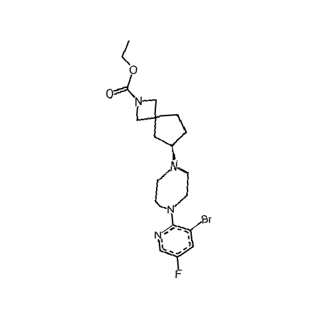 CCOC(=O)N1CC2(CC[C@@H](N3CCN(c4ncc(F)cc4Br)CC3)C2)C1